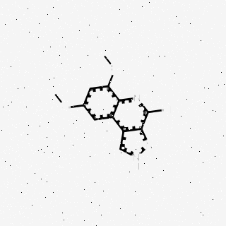 COc1cc(OC)c2nc(Cl)c3n[nH]cc3c2c1